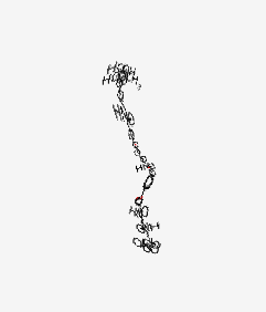 C[C@@H]1O[C@@H](OCCOCCNC(=O)CCOCCOCCOCCOCCNC(=O)COc2ccc(-c3cccc(C(=O)NCCNC(=O)CCCC(=O)ON4C(=O)CCC4=O)c3)cc2)[C@H](O)[C@H](O)[C@H]1O